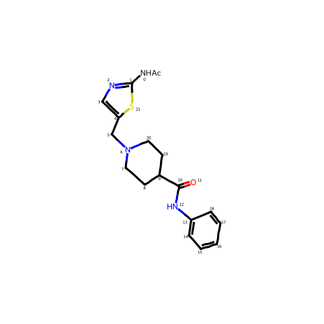 CC(=O)Nc1ncc(CN2CCC(C(=O)Nc3ccccc3)CC2)s1